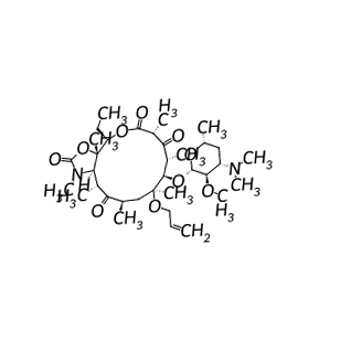 C=CCO[C@@]1(C)C[C@@H](C)C(=O)[C@H](C)[C@H]2N(C)C(=O)O[C@]2(C)[C@@H](CC)OC(=O)[C@H](C)C(=O)[C@H](C)[C@H]1O[C@@H]1O[C@H](C)C[C@H](N(C)C)[C@H]1OC